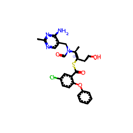 C/C(=C(\CCO)SC(=O)c1cc(Cl)ccc1Oc1ccccc1)N(C=O)Cc1cnc(C)nc1N